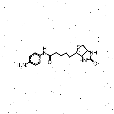 Nc1ccc(NC(=O)CCCCC2SCC3NC(=O)NC32)cc1